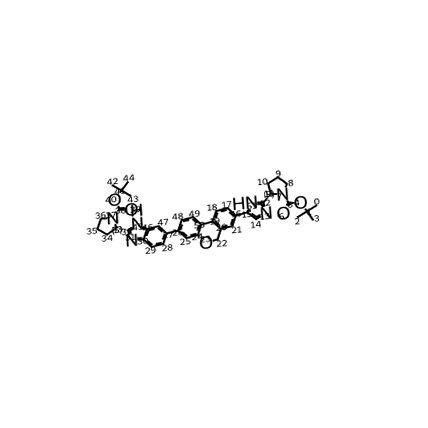 CC(C)(C)OC(=O)N1CCC[C@@H]1c1ncc(-c2ccc3c(c2)COc2cc(-c4ccc5nc([C@@H]6CCCN6C(=O)OC(C)(C)C)[nH]c5c4)ccc2-3)[nH]1